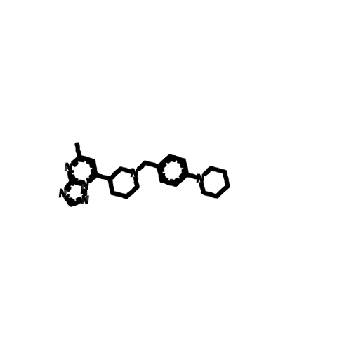 Cc1cc(C2CCCN(Cc3ccc(N4CCCCC4)cc3)C2)n2ncnc2n1